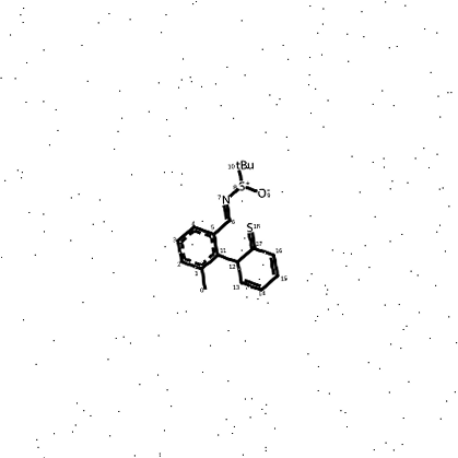 Cc1cccc(/C=N/[S+]([O-])C(C)(C)C)c1C1C=CC=CC1=S